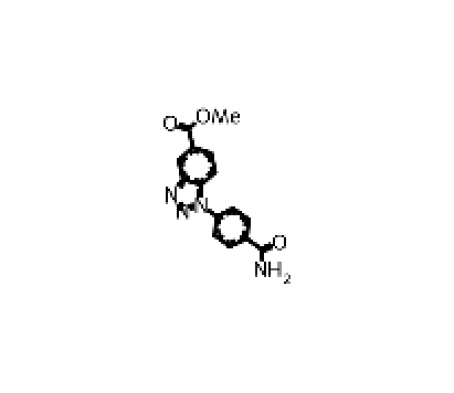 COC(=O)c1ccc2c(c1)nnn2-c1ccc(C(N)=O)cc1